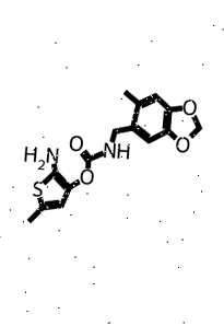 Cc1cc(OC(=O)NCc2cc3c(cc2C)OCO3)c(N)s1